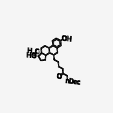 CCCCCCCCCCCC(=O)CCCC[C@@H]1Cc2cc(O)ccc2C2CC[C@@]3(C)C(CC[C@@H]3O)C21